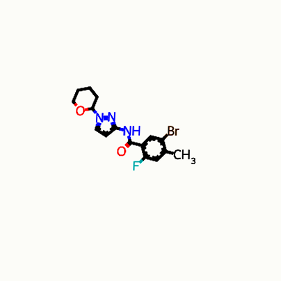 Cc1cc(F)c(C(=O)Nc2ccn(C3CCCCO3)n2)cc1Br